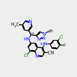 Cc1cncc([C@H](Nc2cc(Cl)c3ncc(C#N)c(Nc4ccc(F)c(Cl)c4)c3c2)c2cn(C(C)C)nn2)c1